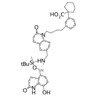 CC(C)(C)[Si](C)(C)O[C@H](CNCc1ccc2c(ccc(=O)n2CCCCc2cccc(C3(C(=O)O)CCCCC3)c2)c1)c1ccc(O)c2[nH]c(=O)ccc12